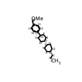 C=CC[C@H]1CC[C@H](C2CCC(c3ccc(COC)cc3)CC2)CC1